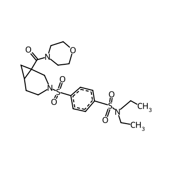 CCN(CC)S(=O)(=O)c1ccc(S(=O)(=O)N2CCC3CC3(C(=O)N3CCOCC3)C2)cc1